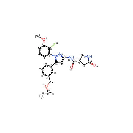 CC(C)Oc1cccc(-n2nc(NC(=O)[C@@H]3CNC(=O)C3)cc2-c2cccc(CO[C@H](C)C(F)(F)F)c2)c1F